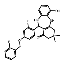 CC1(C)CC(=O)C2=C(C1)Nc1c(O)cccc1NC2c1ccc(OCc2ccccc2F)cc1F